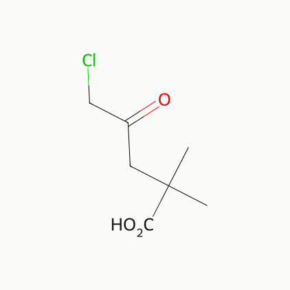 CC(C)(CC(=O)CCl)C(=O)O